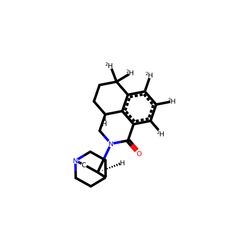 [2H]c1c([2H])c2c3c(c1[2H])C([2H])([2H])CC[C@@H]3CN([C@@H]1CN3CCC1CC3)C2=O